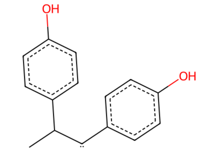 CC([C]c1ccc(O)cc1)c1ccc(O)cc1